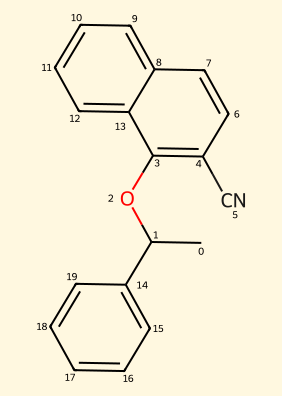 CC(Oc1c(C#N)ccc2ccccc12)c1ccccc1